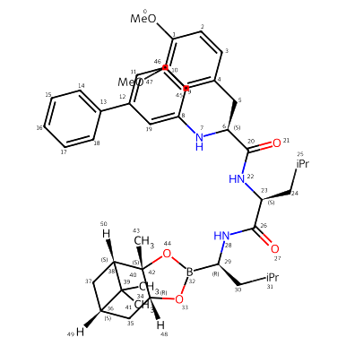 COc1ccc(C[C@H](Nc2cccc(-c3ccccc3)c2)C(=O)N[C@@H](CC(C)C)C(=O)N[C@@H](CC(C)C)B2O[C@@H]3C[C@@H]4C[C@@H](C4(C)C)[C@]3(C)O2)cc1OC